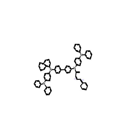 C=C(/C=C\C=C1\C=CC=CC1)N(c1ccc(-c2ccc(N(c3ccc(N(c4ccccc4)c4ccccc4)cc3)c3cccc4ccccc34)cc2)cc1)c1ccc(N(c2ccccc2)c2ccccc2)cc1